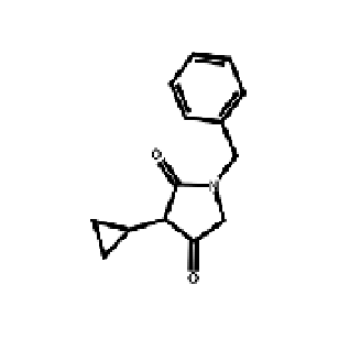 O=C1CN(Cc2ccccc2)C(=O)C1C1CC1